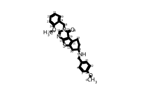 COc1ccc(CNC2CCc3c(sc4ncn(Cc5ccccc5OC)c(=O)c34)C2)cc1